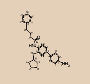 Nc1ccc(-c2cnc(NC(=O)CCCc3ccccc3)c(CC3CCCC3)n2)cc1